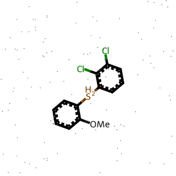 COc1c[c]ccc1[SH2]c1cccc(Cl)c1Cl